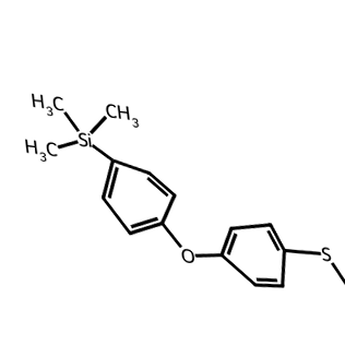 CC(C)Sc1ccc(Oc2ccc([Si](C)(C)C)cc2)cc1